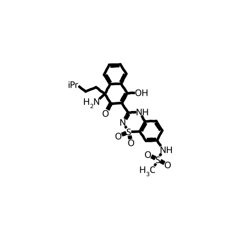 CC(C)CCC1(N)C(=O)C(C2=NS(=O)(=O)c3cc(NS(C)(=O)=O)ccc3N2)=C(O)c2ccccc21